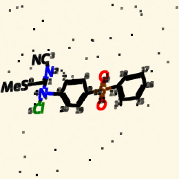 CSC(=NC#N)N(Cl)c1ccc(S(=O)(=O)c2ccccc2)cc1